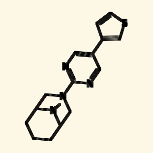 CN1C2CCCC1CN(c1ncc(-c3ccsc3)cn1)C2